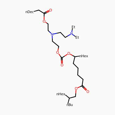 CCCCCCCCCCCC(=O)OCCN(CCOC(=O)OC(CCCCCC)CCCCC(=O)OCC(CCCC)CCCCCC)CCN(CC)CC